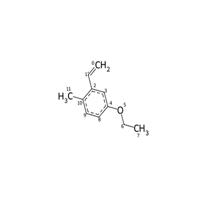 C=[C]c1cc(OCC)ccc1C